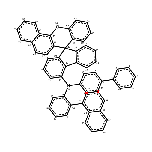 c1ccc(-c2ccc(N(c3ccccc3-c3cccc4ccccc34)c3cccc4c3-c3ccccc3C43c4ccccc4Oc4c3ccc3ccccc43)cc2)cc1